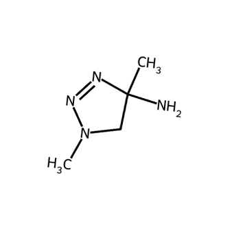 CN1CC(C)(N)N=N1